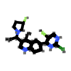 CC(C)c1c(C(C)N2CC[C@@H](F)C2)cnc2ccc(-c3nc(Cl)ncc3F)cc12